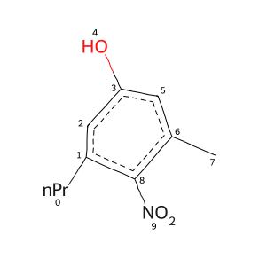 CCCc1cc(O)cc(C)c1[N+](=O)[O-]